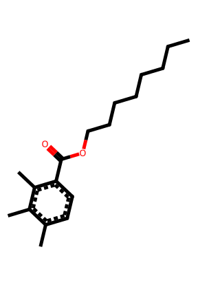 CCCCCCCCOC(=O)c1ccc(C)c(C)c1C